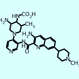 CC1CN(c2ccncc2NC(=O)c2nc3cc(C4CCN(C)CC4)ccc3cc2N)CC(N)C1NC(=O)O